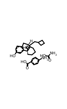 NC(=O)O.Nc1ccc(C(=O)O)cc1.Oc1ccc2c(c1)[C@@]13CCCC[C@@]1(O)[C@@H](C2)N(CC1CCC1)CC3